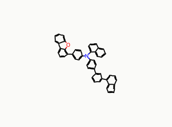 c1cc(-c2ccc(N(c3ccc(-c4cccc5c4oc4ccccc45)cc3)c3cccc4ccccc34)cc2)cc(-c2cccc3ccccc23)c1